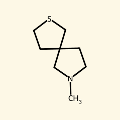 CN1CCC2(CCSC2)C1